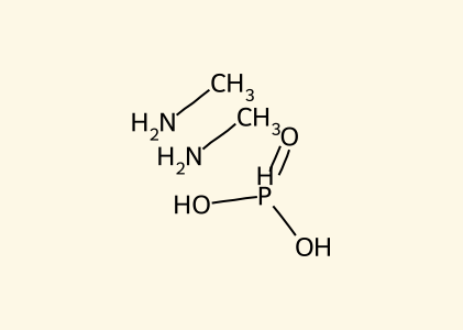 CN.CN.O=[PH](O)O